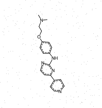 CN(C)CCOc1ccc(Nc2nccc(-c3ccncc3)n2)cc1